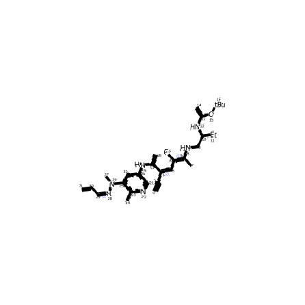 C#C/C(=C/C(F)=C(\C)NCC(CC)NC(=C)OC(C)(C)C)C(=C)Nc1cnc(C)c(N(C)/N=C\C=C)c1